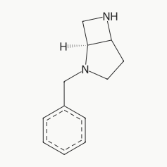 c1ccc(CN2CCC3NC[C@@H]32)cc1